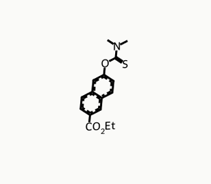 CCOC(=O)c1ccc2cc(OC(=S)N(C)C)ccc2c1